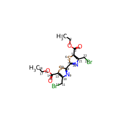 CCOC(=O)c1sc(-c2nc(CBr)c(C(=O)OCC)s2)nc1CBr